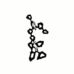 c1ccc(-c2cccc(-c3nc(-c4ccccc4)cc(-c4cccc(-c5ccc6c(c5)c5ccc7c8ccccc8c(-c8ccccc8)nc7c5n6-c5ccccc5)c4)n3)c2)cc1